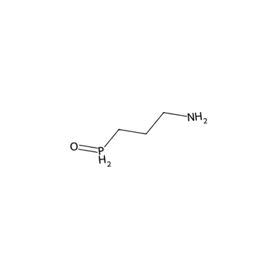 NCCC[PH2]=O